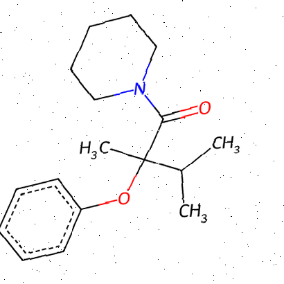 CC(C)C(C)(Oc1ccccc1)C(=O)N1CCCCC1